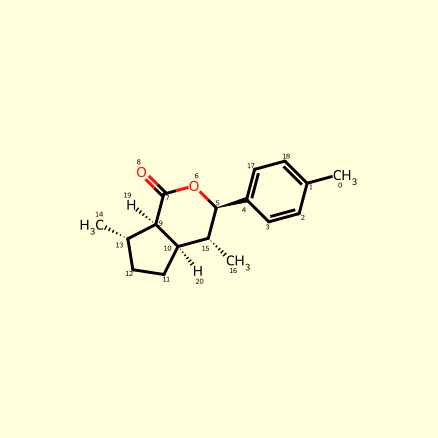 Cc1ccc([C@@H]2OC(=O)[C@H]3[C@H](CC[C@@H]3C)[C@H]2C)cc1